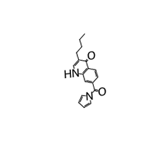 CCCCc1c[nH]c2cc(C(=O)n3cccc3)ccc2c1=O